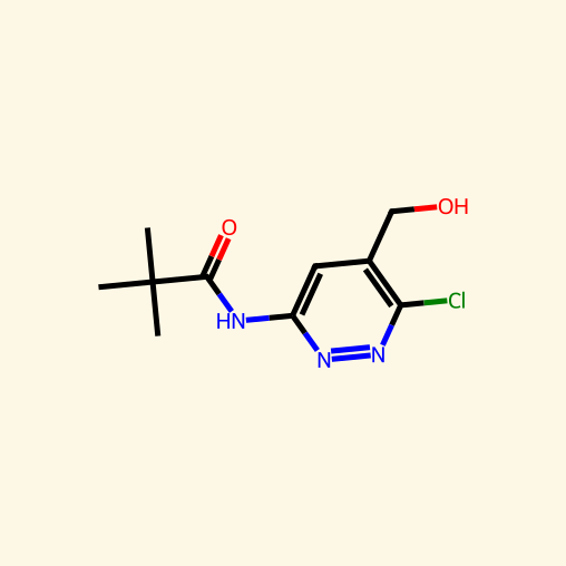 CC(C)(C)C(=O)Nc1cc(CO)c(Cl)nn1